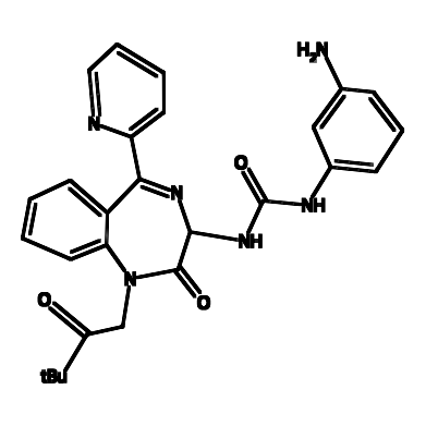 CC(C)(C)C(=O)CN1C(=O)C(NC(=O)Nc2cccc(N)c2)N=C(c2ccccn2)c2ccccc21